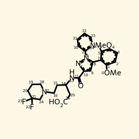 COc1cccc(OC)c1-c1cc(C(=O)NC(CCN2CCCC(F)(F)C2)CC(=O)O)nn1-c1ccccn1